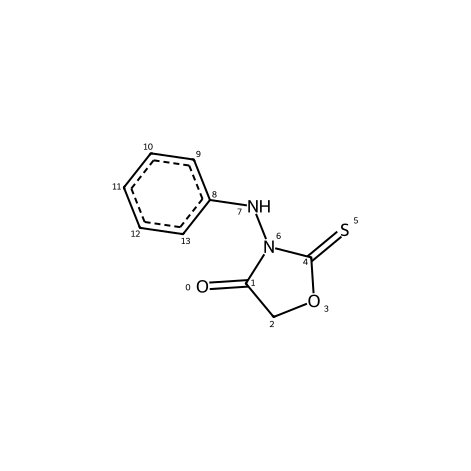 O=C1COC(=S)N1Nc1ccccc1